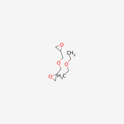 C(OCC1CO1)C1CO1.CCOCC